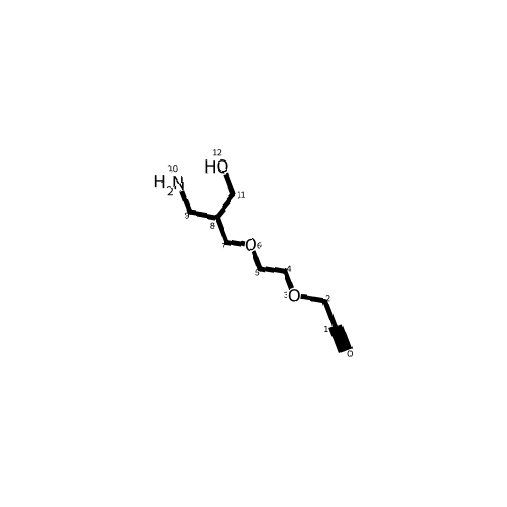 C#CCOCCOCC(CN)CO